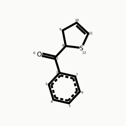 O=C(c1ccccc1)C1CC=CS1